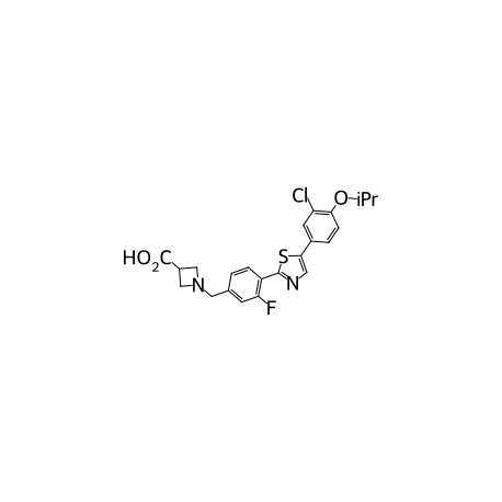 CC(C)Oc1ccc(-c2cnc(-c3ccc(CN4CC(C(=O)O)C4)cc3F)s2)cc1Cl